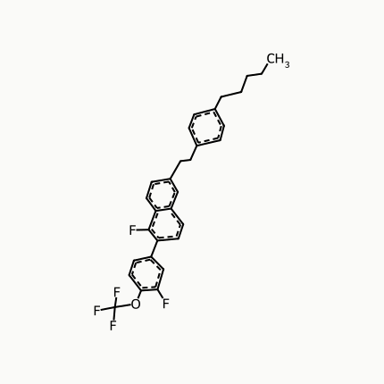 CCCCCc1ccc(CCc2ccc3c(F)c(-c4ccc(OC(F)(F)F)c(F)c4)ccc3c2)cc1